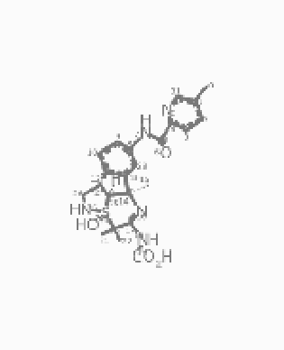 Cc1ccc(C(=O)Nc2ccc(F)c([C@@]3(C)N=C(NC(=O)O)C(C)(C)[S@@]4(O)NCC[C@@H]34)c2)nc1